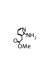 COC(=O)Cc1cccnc1N